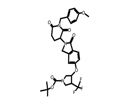 COc1ccc(CN2C(=O)CCC(N3Cc4cc(OC5CN(C(=O)OC(C)(C)C)CC5C(F)(F)F)ccc4C3=O)C2=O)cc1